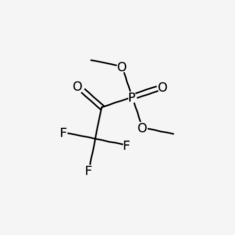 COP(=O)(OC)C(=O)C(F)(F)F